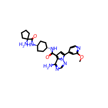 COc1cc(-c2cc(C(=O)N[C@H]3CC[C@H](NC(=O)C4(N)CCCC4)CC3)c3c(N)ncnn23)ccn1